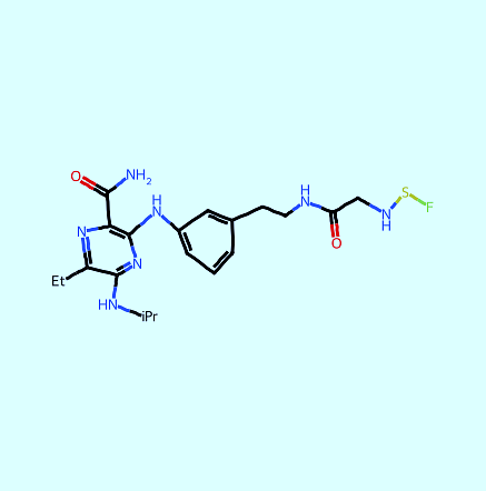 CCc1nc(C(N)=O)c(Nc2cccc(CCNC(=O)CNSF)c2)nc1NC(C)C